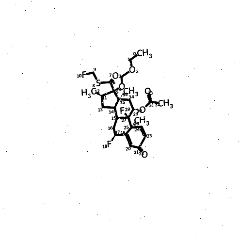 CCOCO[C@]1(C(=O)SCF)[C@H](C)CC2C3C[C@H](F)C4=CC(=O)C=C[C@]4(C)[C@@]3(F)[C@@H](OC(C)=O)C[C@@]21C